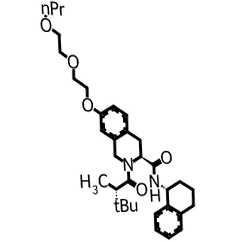 CCCOCCOCCOc1ccc2c(c1)CN(C(=O)[C@@H](C)C(C)(C)C)[C@H](C(=O)N[C@@H]1CCCc3ccccc31)C2